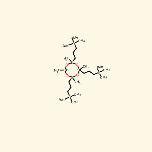 CO[Si](CCC[Si]1(C)O[SiH](C)O[Si](C)(CCC[Si](OC)(OC)OC)O[Si](C)(CCC[Si](OC)(OC)OC)O1)(OC)OC